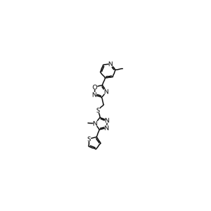 Cc1cc(-c2nc(CSc3nnc(-c4cccs4)n3C)no2)ccn1